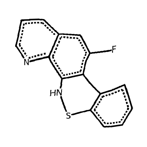 Fc1cc2cccnc2c2c1-c1ccccc1SN2